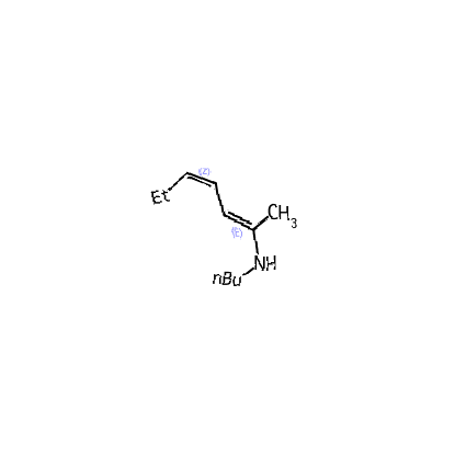 CC/C=C\C=C(/C)NCCCC